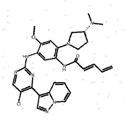 C=C/C=C/C(=O)Nc1cc(Nc2ncc(Cl)c(-c3cnn4ccccc34)n2)c(OC)cc1N1CC[C@@H](N(C)C)C1